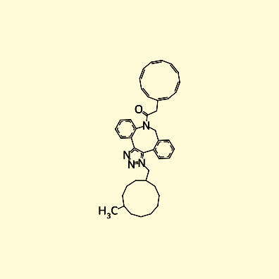 CC1CCCCCCC(Cn2nnc3c2-c2ccccc2CN(C(=O)CC2=C/C=C\C=C/C=C\C=C/C=C\2)c2ccccc2-3)CCC1